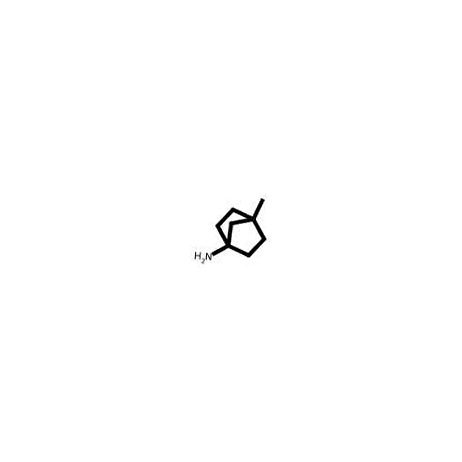 CC12CCC(N)(CC1)C2